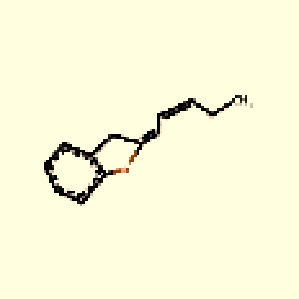 CC/C=C\C=C1/Cc2ccccc2S1